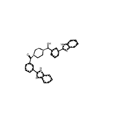 O=C(c1cccc(-c2nc3ccccc3[nH]2)c1)N1CCN(C(O)c2cccc(-c3nc4ccccc4[nH]3)c2)CC1